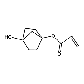 C=CC(=O)OC12CCC(O)(CC1)C2